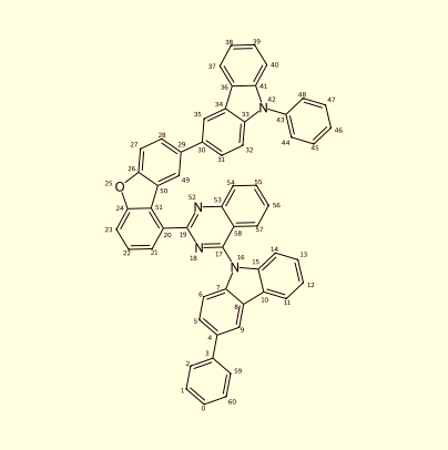 c1ccc(-c2ccc3c(c2)c2ccccc2n3-c2nc(-c3cccc4oc5ccc(-c6ccc7c(c6)c6ccccc6n7-c6ccccc6)cc5c34)nc3ccccc23)cc1